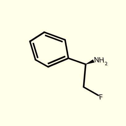 N[C@@H](CF)c1ccccc1